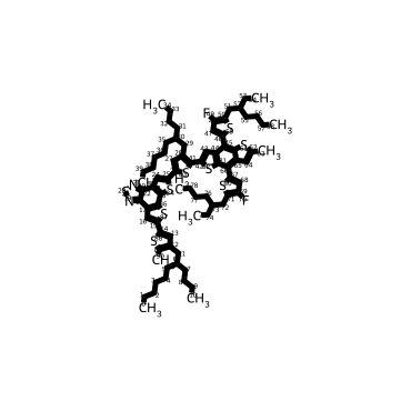 CCCCCCC(CCCC)Cc1cc(-c2cc3c4nsnc4c4cc(-c5cc(CC(CCCC)CCCCCC)c(-c6cc7c(-c8cc(F)c(CC(CC)CCCC)s8)c8sc(C)cc8c(-c8cc(F)c(CC(CC)CCCC)s8)c7s6)s5)sc4c3s2)sc1C